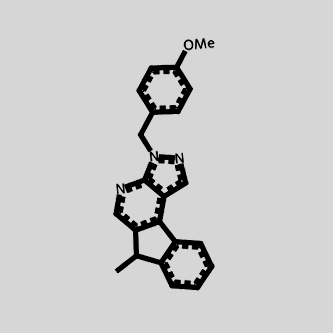 COc1ccc(Cn2ncc3c4c(cnc32)C(C)c2ccccc2-4)cc1